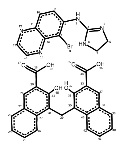 Brc1c(NC2=NCCN2)ccc2nccnc12.O=C(O)c1cc2ccccc2c(Cc2c(O)c(C(=O)O)cc3ccccc23)c1O